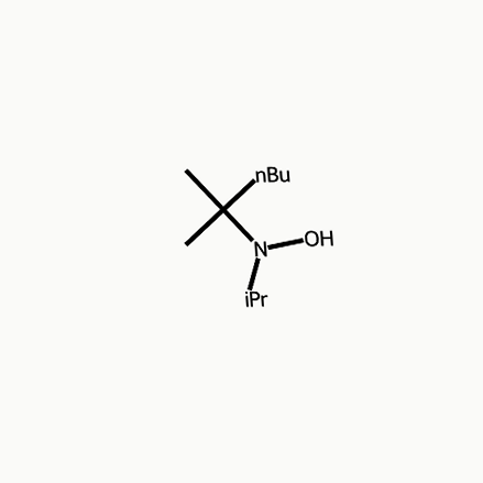 CCCCC(C)(C)N(O)C(C)C